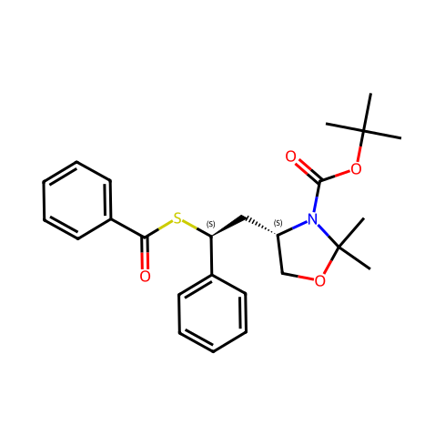 CC(C)(C)OC(=O)N1[C@@H](C[C@H](SC(=O)c2ccccc2)c2ccccc2)COC1(C)C